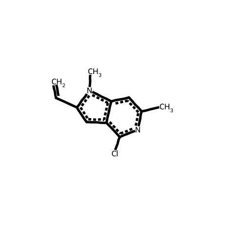 C=Cc1cc2c(Cl)nc(C)cc2n1C